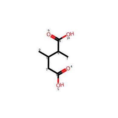 CC(CC(=O)O)C(C)C(=O)O